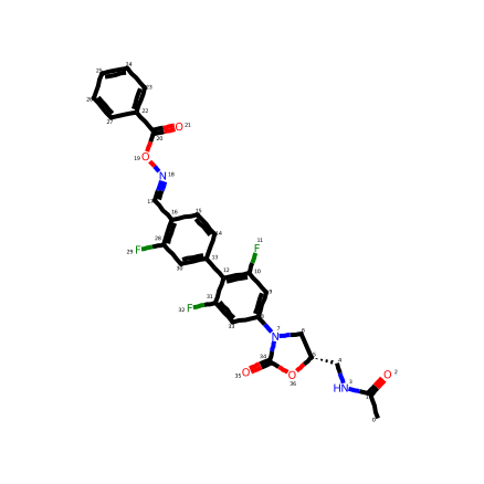 CC(=O)NC[C@H]1CN(c2cc(F)c(-c3ccc(C=NOC(=O)c4ccccc4)c(F)c3)c(F)c2)C(=O)O1